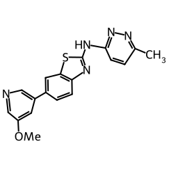 COc1cncc(-c2ccc3nc(Nc4ccc(C)nn4)sc3c2)c1